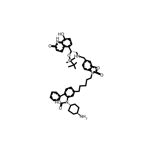 CC(C)(C)[Si](C)(C)O[C@@H](CNCc1ccc2c(c1)oc(=O)n2CCCCCc1ccc(-c2ccccc2)c(N(C(=O)O)[C@H]2CC[C@H](N)CC2)c1)c1ccc(O)c2[nH]c(=O)ccc12